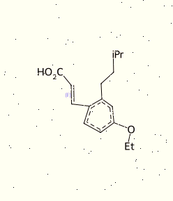 CCOc1ccc(/C=C/C(=O)O)c(CCC(C)C)c1